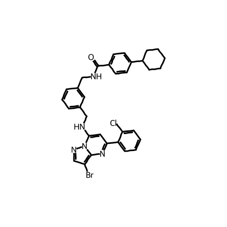 O=C(NCc1cccc(CNc2cc(-c3ccccc3Cl)nc3c(Br)cnn23)c1)c1ccc(C2CCCCC2)cc1